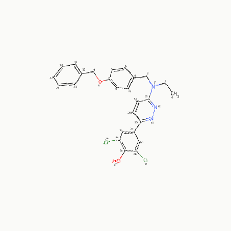 CCN(Cc1ccc(OCc2ccccc2)cc1)c1ccc(-c2cc(Cl)c(O)c(Cl)c2)nn1